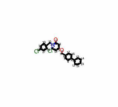 O=c1cc(OCc2ccc(-c3ccccc3)cc2)ccn1Cc1ccc(Cl)cc1Cl